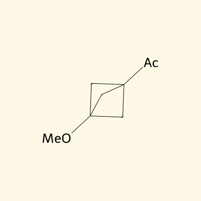 COC12CC(C(C)=O)(C1)C2